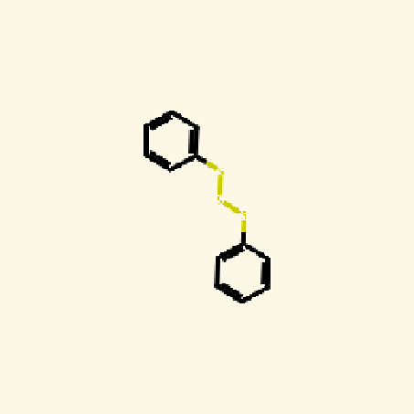 c1ccc(SSSc2ccccc2)cc1